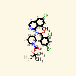 Cc1cc(Cl)cc2ccnc(N(C(=O)c3ccc(Br)cc3Cl)[C@@H]3CCCN(C(=O)OC(C)(C)C)C3)c12